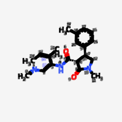 C=N/C=C(NC(=O)[C@H]1C(=O)N(C)C[C@@H]1c1cccc(C)c1)\C(C)=C/C